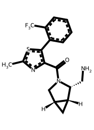 Cc1nc(C(=O)N2C[C@H]3C[C@H]3[C@H]2CN)c(-c2ccccc2C(F)(F)F)s1